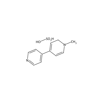 CN1C=CC(c2ccncc2)=CC1.O=S(=O)(O)O